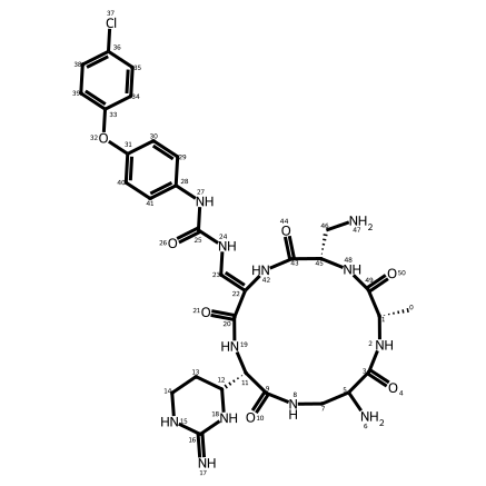 C[C@@H]1NC(=O)C(N)CNC(=O)[C@H](C2CCNC(=N)N2)NC(=O)/C(=C/NC(=O)Nc2ccc(Oc3ccc(Cl)cc3)cc2)NC(=O)[C@H](CN)NC1=O